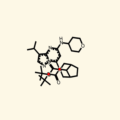 CC(C)c1cnn2c(N(C(=O)OC(C)(C)C)C3C4CCC3CN(C(=O)OC(C)(C)C)C4)cc(NC3CCOCC3)nc12